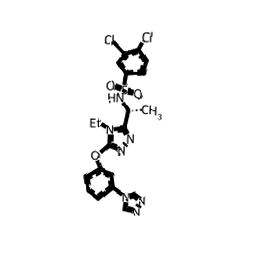 CCn1c(Oc2cccc(-n3cnnc3)c2)nnc1[C@@H](C)NS(=O)(=O)c1ccc(Cl)c(Cl)c1